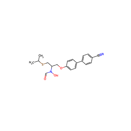 CC(C)SCC(COc1ccc(-c2ccc(C#N)cc2)cc1)N(O)C=O